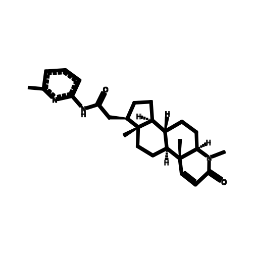 Cc1cccc(NC(=O)C[C@H]2CC[C@H]3[C@@H]4CC[C@H]5N(C)C(=O)C=C[C@]5(C)[C@H]4CC[C@]23C)n1